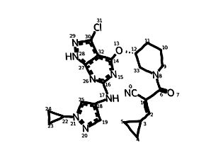 N#C/C(=C\C1CC1)C(=O)N1CCC[C@@H](Oc2nc(Nc3cnn(C4CC4)c3)nc3[nH]nc(Cl)c23)C1